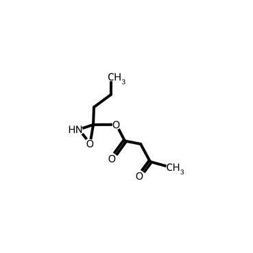 CCCC1(OC(=O)CC(C)=O)NO1